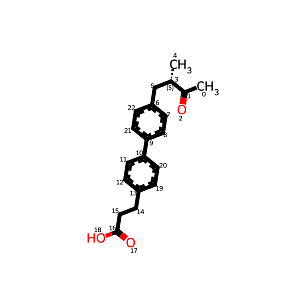 CC(=O)[C@@H](C)Cc1ccc(-c2ccc(CCC(=O)O)cc2)cc1